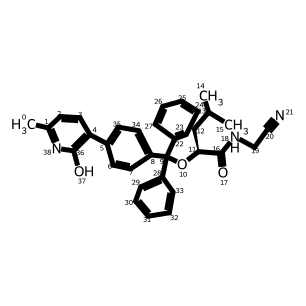 Cc1ccc(-c2ccc(C(O[C@@H](CC(C)C)C(=O)NCC#N)(c3ccccc3)c3ccccc3)cc2)c(O)n1